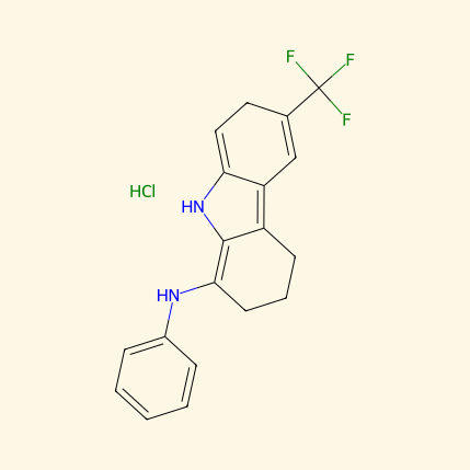 Cl.FC(F)(F)C1=Cc2c3c([nH]c2=CC1)=C(Nc1ccccc1)CCC3